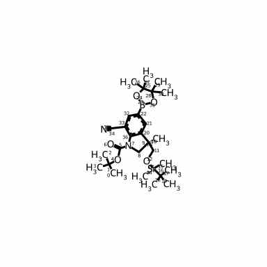 CC(C)(C)OC(=O)N1C[C@](C)(CO[Si](C)(C)C(C)(C)C)c2cc(B3OC(C)(C)C(C)(C)O3)cc(C#N)c21